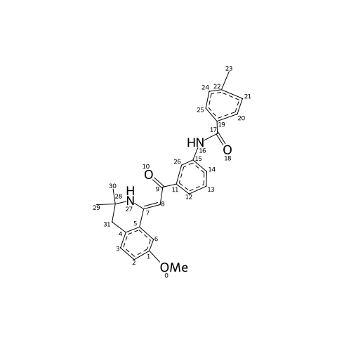 COc1ccc2c(c1)/C(=C/C(=O)c1cccc(NC(=O)c3ccc(C)cc3)c1)NC(C)(C)C2